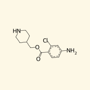 Nc1ccc(C(=O)OCC2CCNCC2)c(Cl)c1